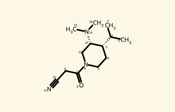 CC(C)[C@@H]1CCN(C(=O)CC#N)C[C@@H]1N(C)C